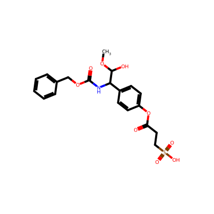 COC(O)C(NC(=O)OCc1ccccc1)c1ccc(OC(=O)CCS(=O)(=O)O)cc1